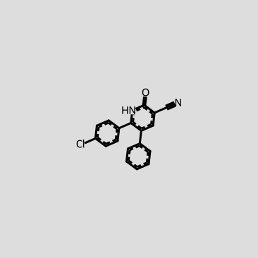 N#Cc1cc(-c2ccccc2)c(-c2ccc(Cl)cc2)[nH]c1=O